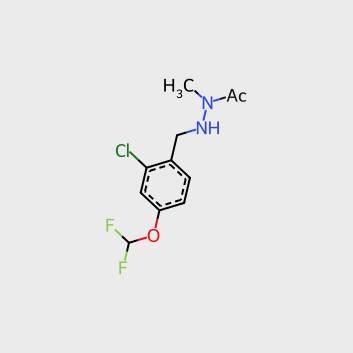 CC(=O)N(C)NCc1ccc(OC(F)F)cc1Cl